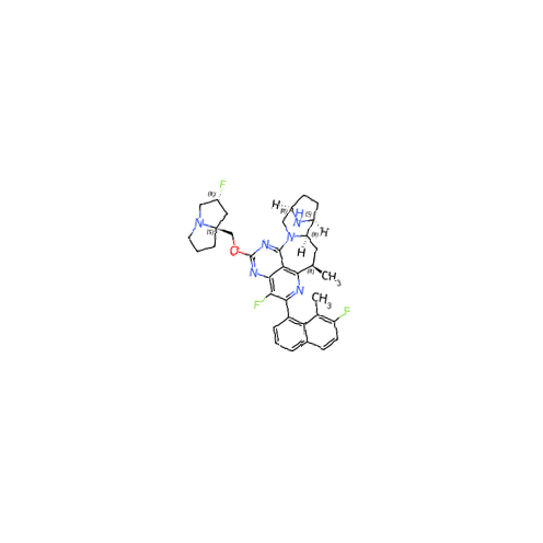 Cc1c(F)ccc2cccc(-c3nc4c5c(nc(OC[C@@]67CCCN6C[C@H](F)C7)nc5c3F)N3C[C@H]5CC[C@H](N5)[C@H]3C[C@H]4C)c12